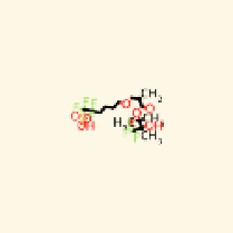 C=C(COCCCCC(F)(F)C(F)(F)S(=O)(=O)O)C(=O)OC(C)(C)C(C)(O)C(F)(F)F